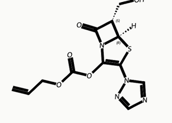 C=CCOC(=O)OC1=C(n2cncn2)S[C@@H]2[C@@H](CO)C(=O)N12